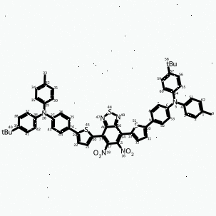 Cc1ccc(N(c2ccc(-c3ccc(-c4c([N+](=O)[O-])c([N+](=O)[O-])c(-c5ccc(-c6ccc(N(c7ccc(C)cc7)c7ccc(C(C)(C)C)cc7)cc6)s5)c5nsnc45)s3)cc2)c2ccc(C(C)(C)C)cc2)cc1